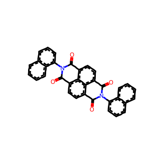 O=C1c2ccc3c4c(ccc(c24)C(=O)N1c1cccc2ccccc12)C(=O)N(c1cccc2ccccc12)C3=O